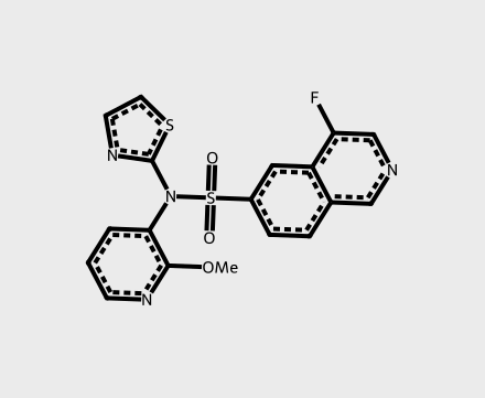 COc1ncccc1N(c1nccs1)S(=O)(=O)c1ccc2cncc(F)c2c1